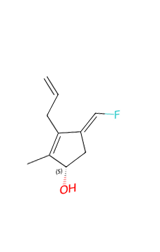 C=CCC1=C(C)[C@@H](O)CC1=CF